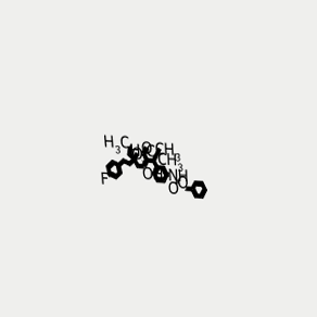 CCCC1(CCc2ccc(F)cc2)CC(O)=C(C(c2cccc(NC(=O)OCc3ccccc3)c2)C(C)(C)C)C(=O)O1